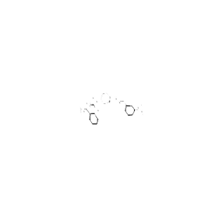 CN(C)c1cccc(CNC[C@H]2CC[C@@H](Nc3nc(N(C)C)c4ccccc4n3)CC2)c1